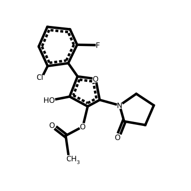 CC(=O)Oc1c(N2CCCC2=O)oc(-c2c(F)cccc2Cl)c1O